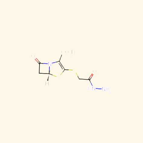 NNC(=O)CSC1=C(C(=O)O)N2C(=O)C[C@H]2S1